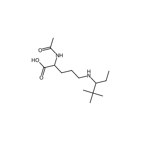 CCC(NCCCC(NC(C)=O)C(=O)O)C(C)(C)C